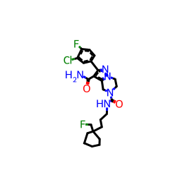 NC(=O)c1c(-c2ccc(F)c(Cl)c2)nn2c1CN(C(=O)NCCCC1(CF)CCCCC1)CC2